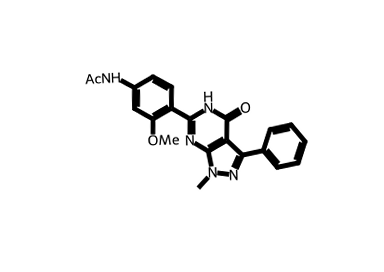 COc1cc(NC(C)=O)ccc1-c1nc2c(c(-c3ccccc3)nn2C)c(=O)[nH]1